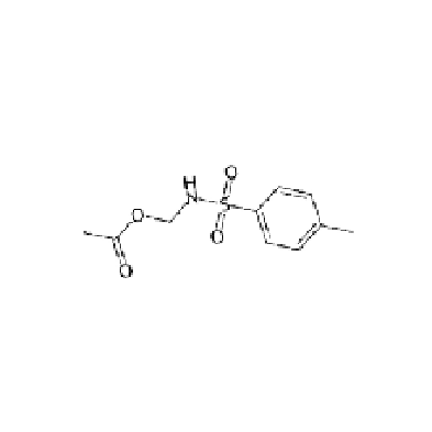 CC(=O)OCNS(=O)(=O)c1ccc(C)cc1